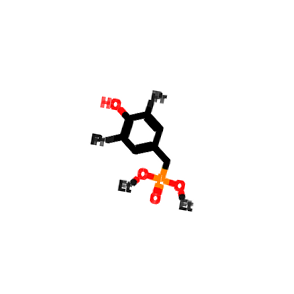 CCOP(=O)(Cc1cc(C(C)C)c(O)c(C(C)C)c1)OCC